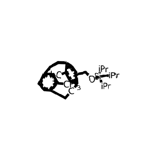 Cc1cc2c(CO[Si](C(C)C)(C(C)C)C(C)C)cc1CCc1ccc(c(C)c1)CC2